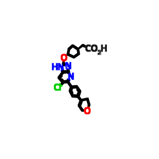 O=C(O)C[C@H]1CC[C@H](Oc2nc3nc(-c4ccc(C5=CCOCC5)cc4)c(Cl)cc3[nH]2)CC1